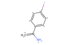 C=C(N)c1ccc(I)cc1